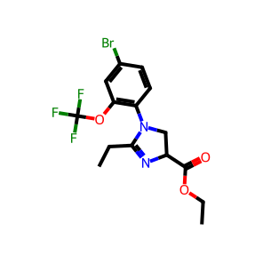 CCOC(=O)C1CN(c2ccc(Br)cc2OC(F)(F)F)C(CC)=N1